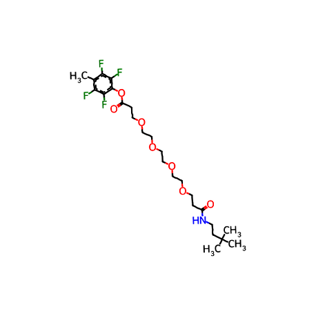 Cc1c(F)c(F)c(OC(=O)CCOCCOCCOCCOCCC(=O)NCCC(C)(C)C)c(F)c1F